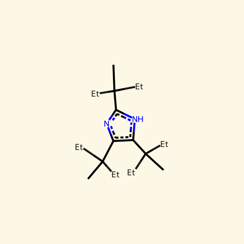 CCC(C)(CC)c1nc(C(C)(CC)CC)c(C(C)(CC)CC)[nH]1